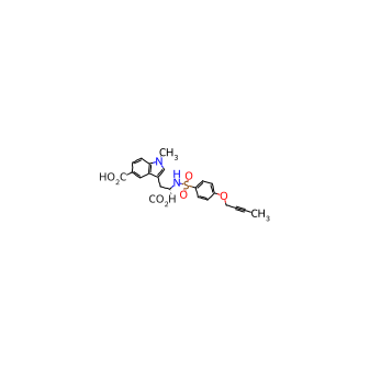 CC#CCOc1ccc(S(=O)(=O)N[C@@H](Cc2cn(C)c3ccc(C(=O)O)cc23)C(=O)O)cc1